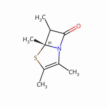 CC1=C(C)N2C(=O)C(C)[C@@]2(C)S1